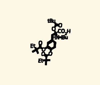 CCC(C)N[C@@](Cc1ccc(OC(=O)C(C)(C)CC)c(OC(=O)C(C)(C)CC)c1)(OC(=O)C(C)(C)C)C(=O)O